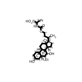 CC[C@H]1[C@@H](O)[C@@H]2[C@H](CC[C@]3(C)[C@@H]([C@H](C)CCOC(=O)NC(C(=O)O)C(C)C)CC[C@@H]23)[C@@]2(C)CC[C@@H](O)C[C@@H]12